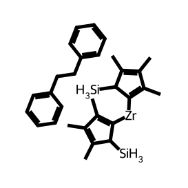 CC1=C(C)C([SiH3])[C]([Zr][C]2=C(C)C(C)=C(C)C2[SiH3])=C1C.c1ccc(CCc2ccccc2)cc1